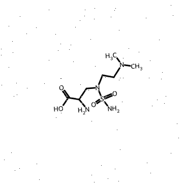 CN(C)CCN(CC(N)C(=O)O)S(N)(=O)=O